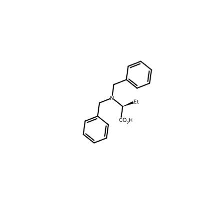 CC[C@@H](C(=O)O)N(Cc1ccccc1)Cc1ccccc1